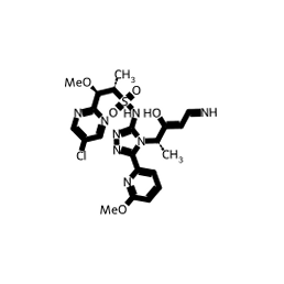 COc1cccc(-c2nnc(NS(=O)(=O)[C@@H](C)[C@H](OC)c3ncc(Cl)cn3)n2[C@@H](C)/C(O)=C/C=N)n1